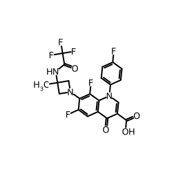 CC1(NC(=O)C(F)(F)F)CN(c2c(F)cc3c(=O)c(C(=O)O)cn(-c4ccc(F)cc4)c3c2F)C1